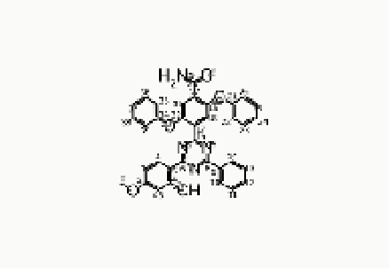 COc1ccc(-c2nc(-c3ccccc3)nc(-c3cc(Oc4ccccc4)c(C(N)=O)cc3Oc3ccccc3)n2)c(O)c1